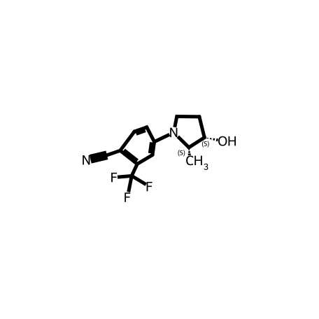 C[C@H]1[C@@H](O)CCN1c1ccc(C#N)c(C(F)(F)F)c1